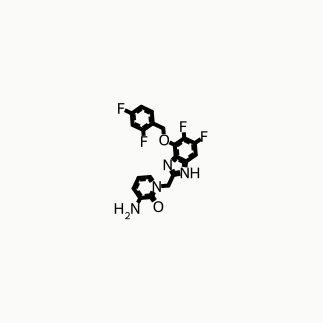 Nc1cccn(Cc2nc3c(OCc4ccc(F)cc4F)c(F)c(F)cc3[nH]2)c1=O